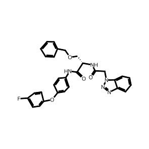 O=C(Cn1nnc2ccccc21)N[C@@H](COCc1ccccc1)C(=O)Nc1ccc(Oc2ccc(F)cc2)cc1